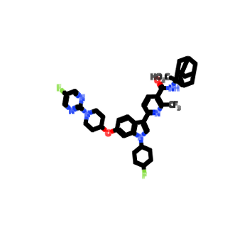 O=C(NC1(C(=O)O)C2CC3CC(C2)CC1C3)c1ccc(-c2cn(C3CCC(F)CC3)c3cc(OC4CCN(c5ncc(F)cn5)CC4)ccc23)nc1C(F)(F)F